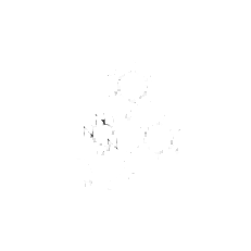 c1ccc(C(c2ccccc2)c2nnc3n2CCCCC3)cc1